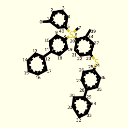 Cc1cccc(S(C)(c2ccc(-c3ccccc3)cc2)c2ccc(Sc3ccc(-c4ccccc4)cc3)cc2C)c1